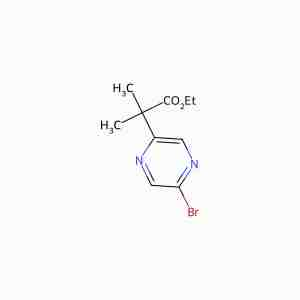 CCOC(=O)C(C)(C)c1cnc(Br)cn1